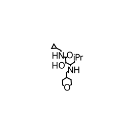 CC(C)CC(NCC1CCOCC1)C(O)C(=O)NCC1CC1